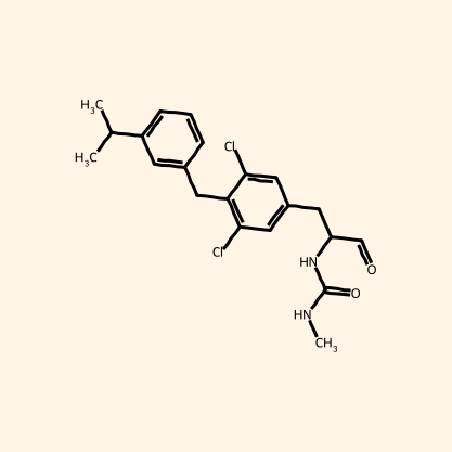 CNC(=O)NC(C=O)Cc1cc(Cl)c(Cc2cccc(C(C)C)c2)c(Cl)c1